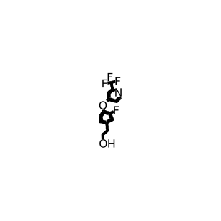 OCCc1ccc(Oc2ccnc(C(F)(F)F)c2)c(F)c1